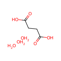 O.O.O.O=C(O)CCC(=O)O